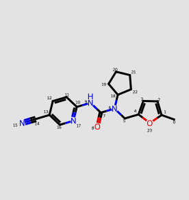 Cc1ccc(CN(C(=O)Nc2ccc(C#N)cn2)C2CCCC2)o1